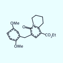 CCOC(=O)c1cc(Cc2cc(OC)ccc2OC)c(=O)n2c1CCCC2